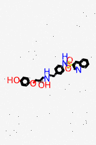 O=S(=O)(Nc1ccc(CCNC[C@H](O)COc2ccc(O)cc2)cc1)c1cnc2ccccc2c1